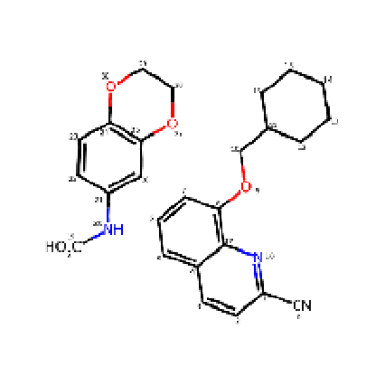 N#Cc1ccc2cccc(OCC3CCCCC3)c2n1.O=C(O)Nc1ccc2c(c1)OCCO2